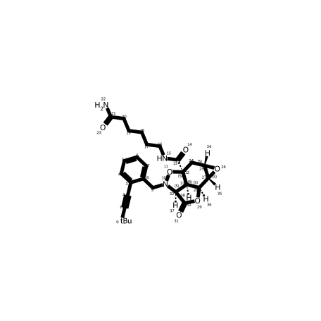 CC(C)(C)C#Cc1ccccc1CN1O[C@@]2(C(=O)NCCCCCC(N)=O)C[C@@H]3O[C@@H]3[C@H]3OC(=O)[C@@H]1[C@H]32